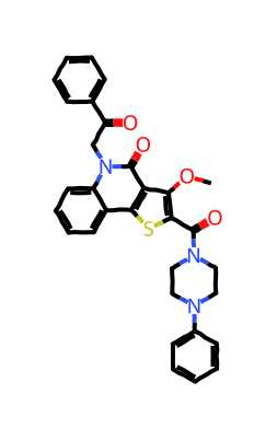 COc1c(C(=O)N2CCN(c3ccccc3)CC2)sc2c1c(=O)n(CC(=O)c1ccccc1)c1ccccc21